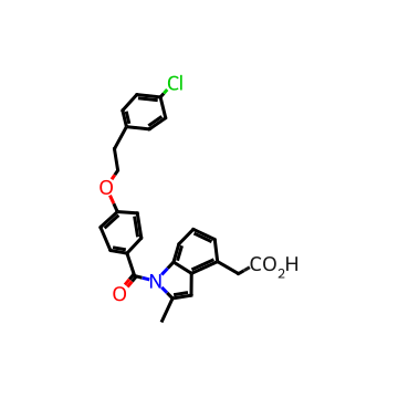 Cc1cc2c(CC(=O)O)cccc2n1C(=O)c1ccc(OCCc2ccc(Cl)cc2)cc1